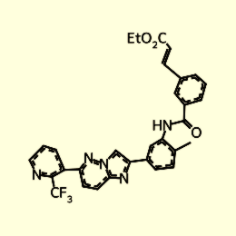 CCOC(=O)C=Cc1cccc(C(=O)Nc2cc(-c3cn4nc(-c5cccnc5C(F)(F)F)ccc4n3)ccc2C)c1